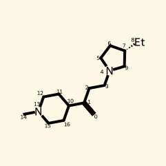 C=C(CCN1CC[C@H](CC)C1)C1CCN(C)CC1